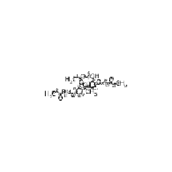 C=CC(=O)OCCO.C=CC(=O)OCCOc1ccc(C(C)(C)c2ccc(OCCOC(=O)C=C)cc2)cc1